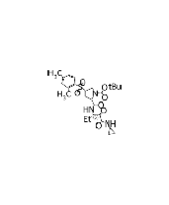 CC[C@H](NC(=O)C1CC(S(=O)(=O)c2ccc(C)cc2C)CN1C(=O)OC(C)(C)C)C(=O)C(=O)NC1CC1